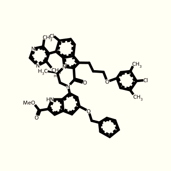 COC(=O)c1cc2cc(OCc3ccccc3)cc(N3C[C@@H](C)n4c(c(CCCOc5cc(C)c(Cl)c(C)c5)c5ccc(Cl)c(-c6c(C)ncnc6C)c54)C3=O)c2[nH]1